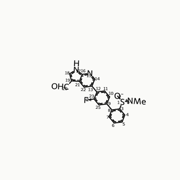 CN[S+]([O-])c1ccccc1-c1ccc(-c2cnc3[nH]cc(C=O)c3c2)c(F)c1